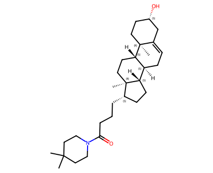 CC1(C)CCN(C(=O)CCC[C@H]2CC[C@H]3[C@@H]4CC=C5C[C@@H](O)CC[C@]5(C)[C@H]4CC[C@]23C)CC1